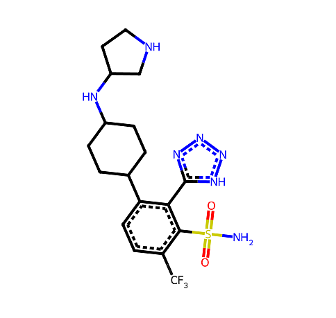 NS(=O)(=O)c1c(C(F)(F)F)ccc(C2CCC(NC3CCNC3)CC2)c1-c1nnn[nH]1